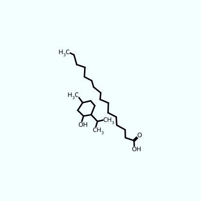 CC1CCC(C(C)C)C(O)C1.CCCCCCCCCCCCCCCC(=O)O